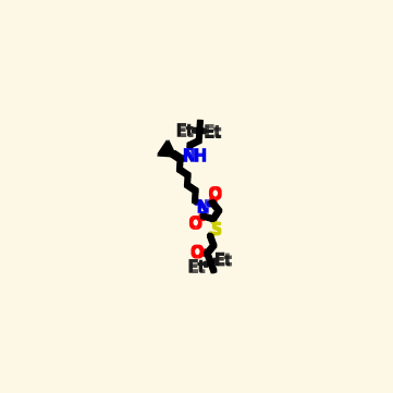 CCC(C)(CC)CCNC(CCCCCN1C(=O)CC(SCCC(=O)C(C)(CC)CC)C1=O)=C1CC1